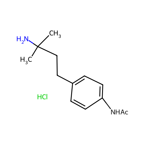 CC(=O)Nc1ccc(CCC(C)(C)N)cc1.Cl